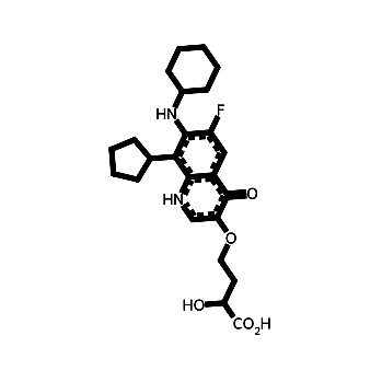 O=C(O)C(O)CCOc1c[nH]c2c(C3CCCC3)c(NC3CCCCC3)c(F)cc2c1=O